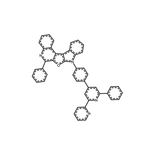 c1ccc(-c2cc(-c3ccc(-n4c5ccccc5c5c6c(oc54)c(-c4ccccc4)nc4ccccc46)cc3)cc(-c3ccccn3)n2)cc1